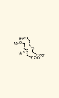 COCCOCC(=O)[O-].COCCOCC(=O)[O-].[Bi+2]